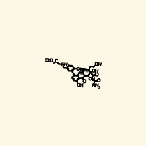 CCOC(=O)CNCc1ccc(OC)c(-c2ccc(O)c3c2C[C@H]2C[C@@H](CCO)[C@@](O)(C(=O)CC(N)=O)C(O)=C2C3=O)c1